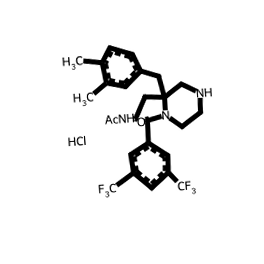 CC(=O)NCCC1(Cc2ccc(C)c(C)c2)CNCCN1C(=O)c1cc(C(F)(F)F)cc(C(F)(F)F)c1.Cl